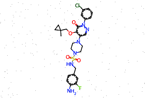 CC1(COc2c(N3CCN(S(=O)(=O)NCc4ccc(N)c(F)c4)CC3)cnn(-c3cccc(Cl)c3)c2=O)CC1